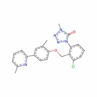 Cc1cccc(-c2ccc(OCc3c(Cl)cccc3-n3nnn(C)c3=O)c(C)c2)n1